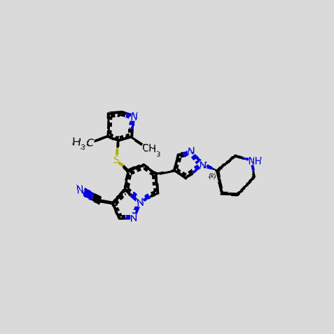 Cc1ccnc(C)c1Sc1cc(-c2cnn([C@@H]3CCCNC3)c2)cn2ncc(C#N)c12